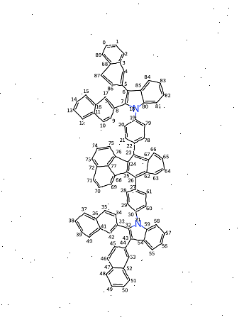 c1ccc2cc(-c3c(-c4ccc5ccccc5c4)n(-c4ccc(-c5c6c(c(-c7ccc(-n8c(-c9ccc%10ccccc%10c9)c(-c9ccc%10ccccc%10c9)c9ccccc98)cc7)c7ccccc57)-c5cccc7cccc-6c57)cc4)c4ccccc34)ccc2c1